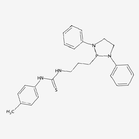 Cc1ccc(NC(=S)NCCCP2N(c3ccccc3)CCN2c2ccccc2)cc1